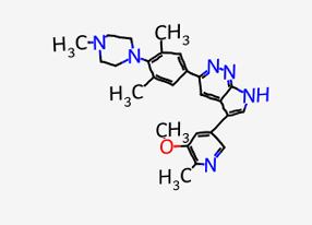 COc1cc(-c2c[nH]c3nnc(-c4cc(C)c(N5CCN(C)CC5)c(C)c4)cc23)cnc1C